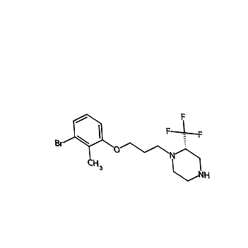 Cc1c(Br)cccc1OCCCN1CCNC[C@H]1C(F)(F)F